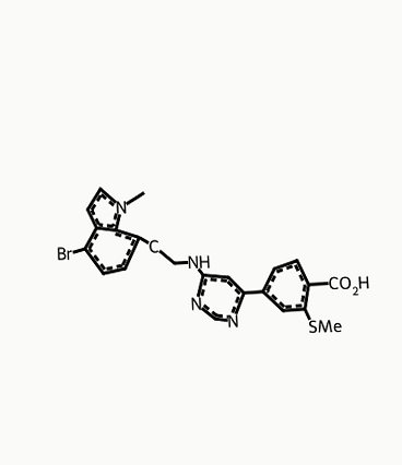 CSc1cc(-c2cc(NCCc3ccc(Br)c4ccn(C)c34)ncn2)ccc1C(=O)O